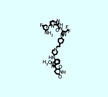 Cn1nc(C2CCC(=O)NC2=O)c2cccc(NC3CCN(CCC4CCC(n5cc(NC(=O)c6cnn7ccc(N8C[C@H](N)C[C@@H](F)C8)nc67)c(C(F)F)n5)CC4)CC3)c21